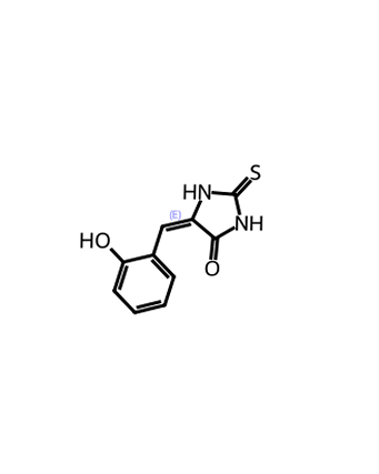 O=C1NC(=S)N/C1=C/c1ccccc1O